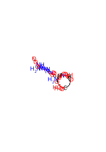 CCOCCOCCNC(=O)c1cnc(N2CCN(c3ncc4c(n3)CCN(C(=O)O[C@@H]3CC[C@@H](C[C@@H](N)[C@@H]5CC(=O)[C@H](C)/C=C(\C)[C@@H](O)[C@@H](O)C(=O)[C@H](C)C[C@H](C)/C=C/C=C/C=C(\C)[C@@H](OC)C[C@@H]6CC[C@@H](C)[C@@](O)(O6)C(=O)C(=O)N6CCCC[C@H]6C(=O)O5)C[C@H]3OC)C4)CC2)nc1N